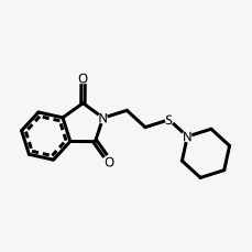 O=C1c2ccccc2C(=O)N1CCSN1CCCCC1